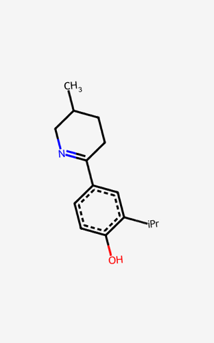 CC1CCC(c2ccc(O)c(C(C)C)c2)=NC1